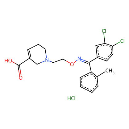 Cc1ccccc1/C(=N\OCCN1CCC=C(C(=O)O)C1)c1ccc(Cl)c(Cl)c1.Cl